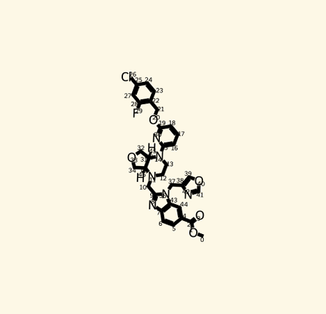 COC(=O)c1ccc2nc(CN3CCN(c4cccc(OCc5ccc(Cl)cc5F)n4)[C@H]4COC[C@H]43)n(Cc3cocn3)c2c1